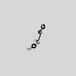 O=C(CCCc1ccc(-c2cccnc2)s1)Nc1ccc(O)cc1